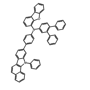 c1ccc(-c2ccc(N(c3ccc(-c4ccc5c6ccc7ccccc7c6n(-c6ccccc6)c5c4)cc3)c3cccc4c3oc3ccccc34)cc2-c2ccccc2)cc1